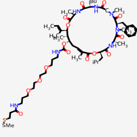 C/C=C(\C)[C@H]1OC(=O)[C@@H](C)NC(=O)[C@H](C(C)CC)NC(=O)CN(C)C(=O)[C@@H](Cc2ccccc2)N(C)C(=O)[C@H](C)NC(=O)[C@@H](CC(C)C)OC(=O)/C(C)=C/C[C@H](OC(=O)NCCCOCCOCCOCCCNC(=O)CCSSC)[C@@H]1C